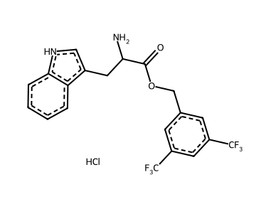 Cl.NC(Cc1c[nH]c2ccccc12)C(=O)OCc1cc(C(F)(F)F)cc(C(F)(F)F)c1